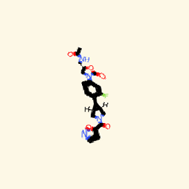 CC(=O)NC[C@H]1CN(c2ccc(C3[C@H]4CN(C(=O)c5ccno5)C[C@@H]34)c(F)c2)C(=O)O1